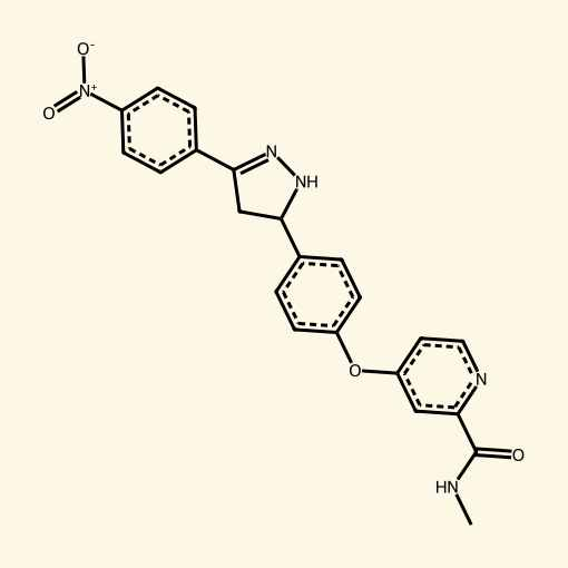 CNC(=O)c1cc(Oc2ccc(C3CC(c4ccc([N+](=O)[O-])cc4)=NN3)cc2)ccn1